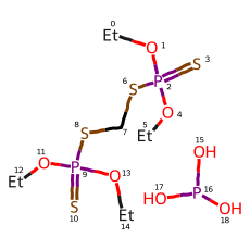 CCOP(=S)(OCC)SCSP(=S)(OCC)OCC.OP(O)O